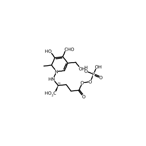 CC1C(O)=C(C=O)C(CO)=CN1N[C@@H](CCC(=O)OOP(=O)(O)O)C(=O)O